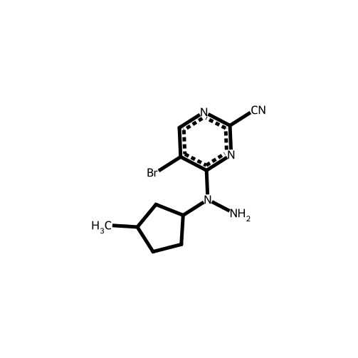 CC1CCC(N(N)c2nc(C#N)ncc2Br)C1